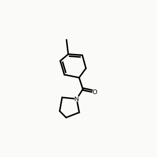 CC1=CCC(C(=O)N2CCCC2)C=C1